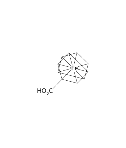 O=C(O)[C]12[CH]3[CH]4[CH]5[CH]1[Fe]45321678[CH]2[CH]1[CH]6[CH]7[CH]28